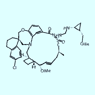 COC[C@H]1C[C@H]1NCN[S@@]1(=O)=NC(=O)c2ccc3c(c2)N(C[C@@H]2CC[C@H]2[C@@H](OC)/C=C/C[C@H](C)C1)C[C@@]1(CCCc2cc(Cl)ccc21)CO3